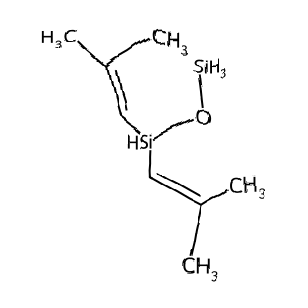 CC(C)=C[SiH](C=C(C)C)O[SiH3]